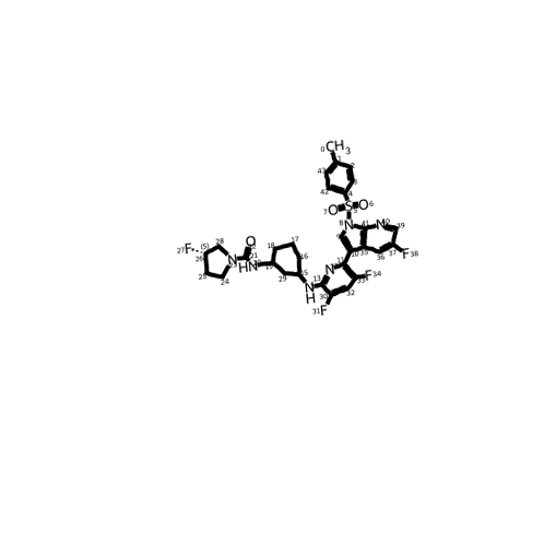 Cc1ccc(S(=O)(=O)n2cc(-c3nc(NC4CCCC(NC(=O)N5CC[C@H](F)C5)C4)c(F)cc3F)c3cc(F)cnc32)cc1